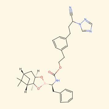 CC1(C)[C@@H]2C[C@H]3OB([C@H](Cc4ccccc4)NC(=O)OCCc4cccc(CCC(C#N)n5cncn5)c4)O[C@@]3(C)[C@H]1C2